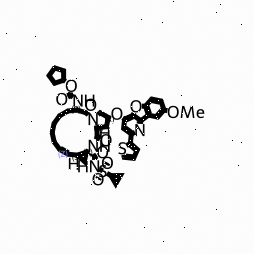 COc1ccc2oc3c(O[C@@H]4C[C@H]5C(=O)N[C@]6(C(=O)NS(=O)(=O)C7CC7)C[C@H]6/C=C\CCCCC[C@H](NC(=O)OC6CCCC6)C(=O)N5C4)cc(-c4cccs4)nc3c2c1